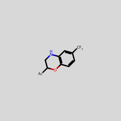 CC(=O)C1CNc2cc(C(F)(F)F)ccc2O1